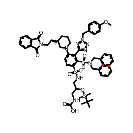 COc1ccc(Cn2nnc(-c3c(N4CCC/C(=C/CN5C(=O)c6ccccc6C5=O)C4)ccc(S(=O)(=O)NCC(CNC(=O)O)O[Si](C)(C)C(C)(C)C)c3S(=O)(=O)N(Cc3ccccc3)Cc3ccccc3)n2)cc1